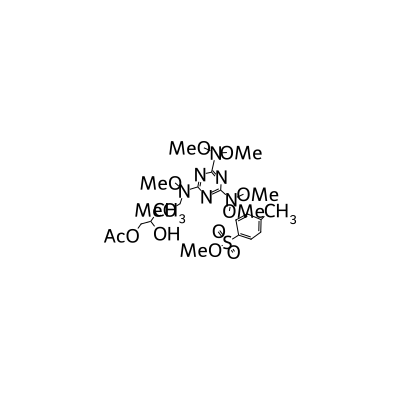 CC(=O)OCC(C)O.COCN(OC)c1nc(N(OC)OC)nc(N(OC)OC)n1.COS(=O)(=O)c1ccc(C)cc1